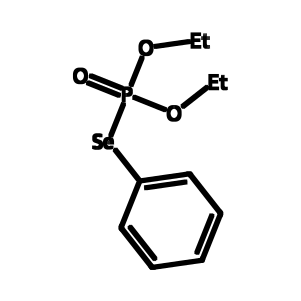 CCOP(=O)(OCC)[Se]c1ccccc1